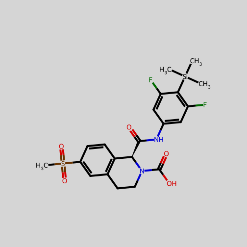 C[Si](C)(C)c1c(F)cc(NC(=O)[C@@H]2c3ccc(S(C)(=O)=O)cc3CCN2C(=O)O)cc1F